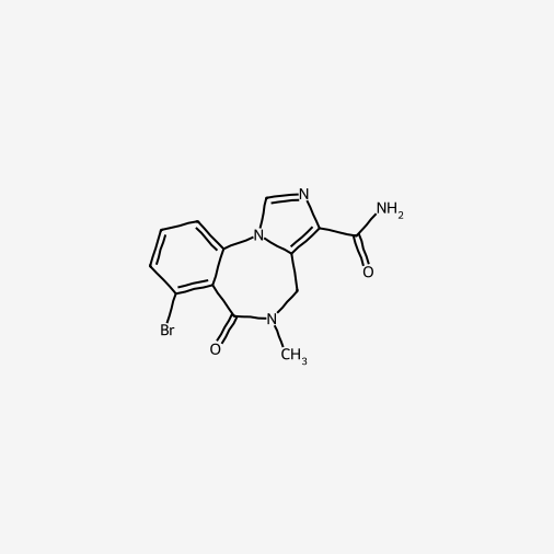 CN1Cc2c(C(N)=O)ncn2-c2cccc(Br)c2C1=O